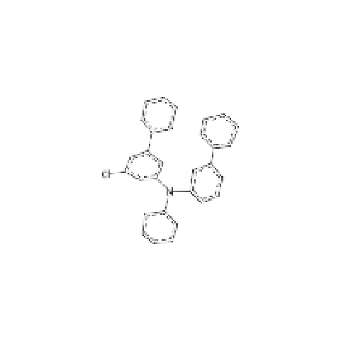 Clc1cc(-c2ccccc2)cc(N(c2ccccc2)c2cccc(-c3ccccc3)c2)c1